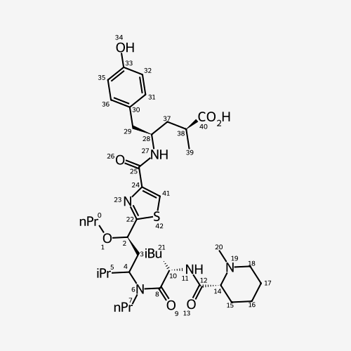 CCCO[C@H](CC(C(C)C)N(CCC)C(=O)[C@@H](NC(=O)[C@H]1CCCCN1C)[C@@H](C)CC)c1nc(C(=O)N[C@@H](Cc2ccc(O)cc2)C[C@H](C)C(=O)O)cs1